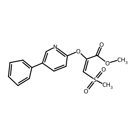 COC(=O)C(=CS(C)(=O)=O)Oc1ccc(-c2ccccc2)cn1